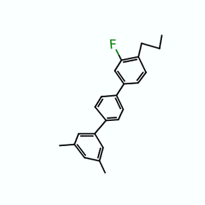 CCCc1ccc(-c2ccc(-c3cc(C)cc(C)c3)cc2)cc1F